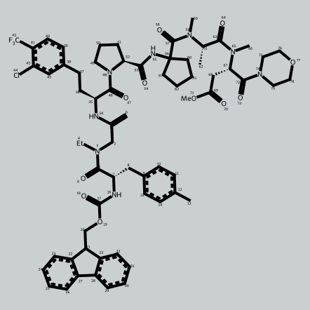 C=C(CN(CC)C(=O)[C@H](Cc1ccc(C)cc1)NC(=O)OCC1c2ccccc2-c2ccccc21)N[C@@H](CCc1ccc(C(F)(F)F)c(Cl)c1)C(=O)N1CCC[C@H]1C(=O)NC1(C(=O)N(C)[C@@H](C)C(=O)N(C)[C@@H](CC(=O)OC)C(=O)N2CCOCC2)CCCC1